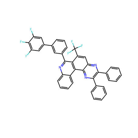 Fc1cc(-c2cccc(-c3nc4ccccc4c4c3c(C(F)(F)F)cc3nc(-c5ccccc5)c(-c5ccccc5)nc34)c2)cc(F)c1F